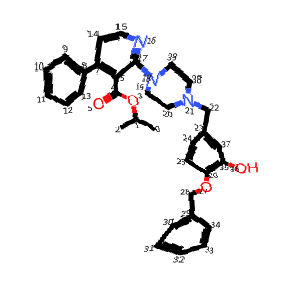 CC(C)OC(=O)c1c(-c2ccccc2)ccnc1N1CCN(Cc2ccc(OCc3ccccc3)c(O)c2)CC1